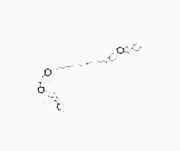 CC(NC(=O)c1cccc(NCc2nnc(-c3ccncn3)n2C)c1)c1ccc(OCCCCCCOCCOCCOCCCC(=O)N2CCN(c3cc4c(cc3F)C(=O)N(C3CCC(=O)NC3=O)C4=O)CC2)cc1